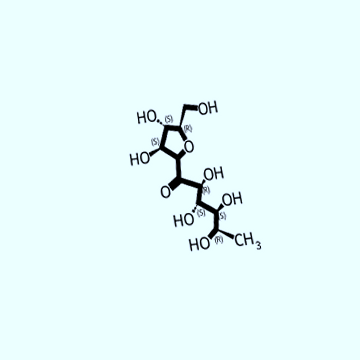 C[C@@H](O)[C@H](O)[C@H](O)[C@@H](O)C(=O)C1O[C@H](CO)[C@@H](O)[C@@H]1O